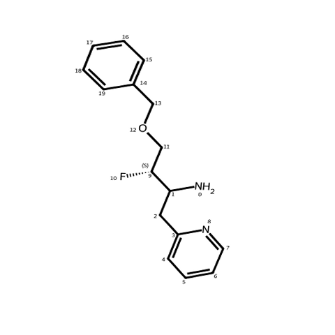 NC(Cc1ccccn1)[C@H](F)COCc1ccccc1